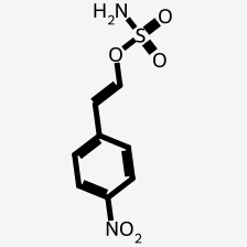 NS(=O)(=O)OC=Cc1ccc([N+](=O)[O-])cc1